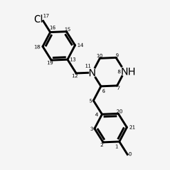 Cc1ccc(CC2CNCCN2Cc2ccc(Cl)cc2)cc1